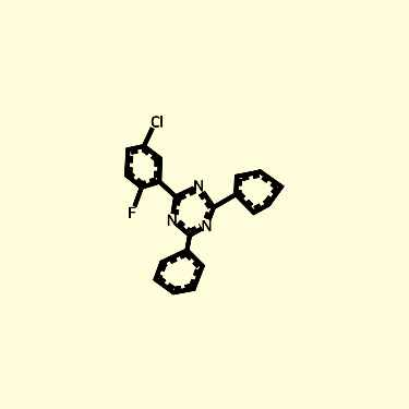 Fc1ccc(Cl)cc1-c1nc(-c2ccccc2)nc(-c2ccccc2)n1